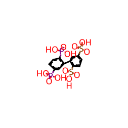 O=P(O)(O)c1ccc(P(=O)(O)O)c(-c2cc(S(=O)(=O)O)ccc2S(=O)(=O)O)c1